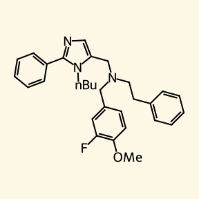 CCCCn1c(CN(CCc2ccccc2)Cc2ccc(OC)c(F)c2)cnc1-c1ccccc1